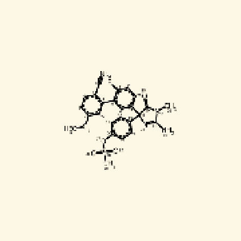 COc1ccc(C#N)c(-c2cc(C3(c4ccc(OS(C)(=O)=O)cc4)N=C(N)N(C)C3=O)ccc2F)c1